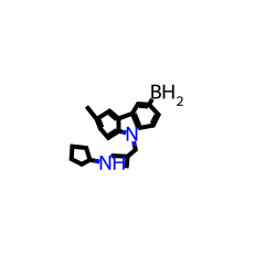 Bc1ccc2c(c1)c1cc(C)ccc1n2CC(C)CNC1CCCC1